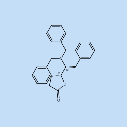 O=C1CC[C@H]([C@H](Cc2ccccc2)N(Cc2ccccc2)Cc2ccccc2)O1